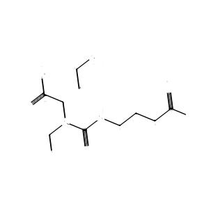 CCN(C(=O)NCCCC(=O)O)[C@@H](CCN)C(=O)O